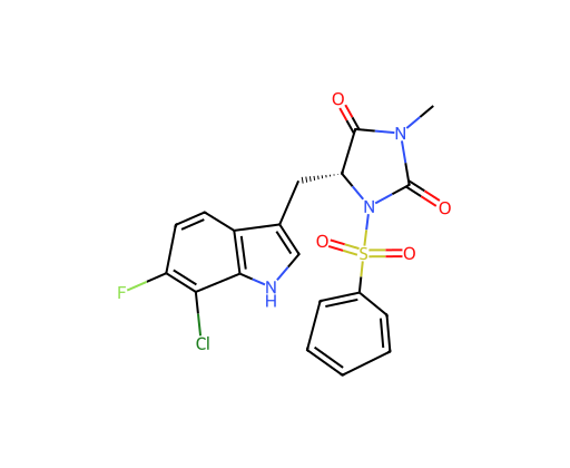 CN1C(=O)[C@@H](Cc2c[nH]c3c(Cl)c(F)ccc23)N(S(=O)(=O)c2ccccc2)C1=O